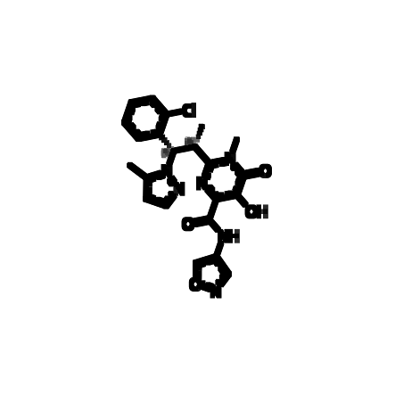 Cc1ccnn1[C@H](c1ccccc1Cl)[C@H](C)c1nc(C(=O)Nc2cnoc2)c(O)c(=O)n1C